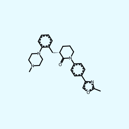 Cc1nc(-c2ccc(N3CCC[C@@H](Cc4ccccc4N4CCN(C)CC4)C3=O)cc2)co1